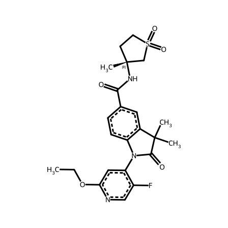 CCOc1cc(N2C(=O)C(C)(C)c3cc(C(=O)N[C@]4(C)CCS(=O)(=O)C4)ccc32)c(F)cn1